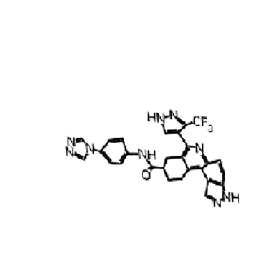 O=C(Nc1ccc(-n2cnnc2)cc1)C1CCc2c(c(-c3c[nH]nc3C(F)(F)F)nc3ccc4[nH]ncc4c23)C1